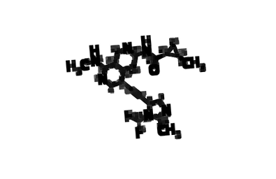 CNc1ncc(C#Cc2cnc(C)n2C(F)F)c2cc(NC(=O)[C@H]3C[C@H]3C)ncc12